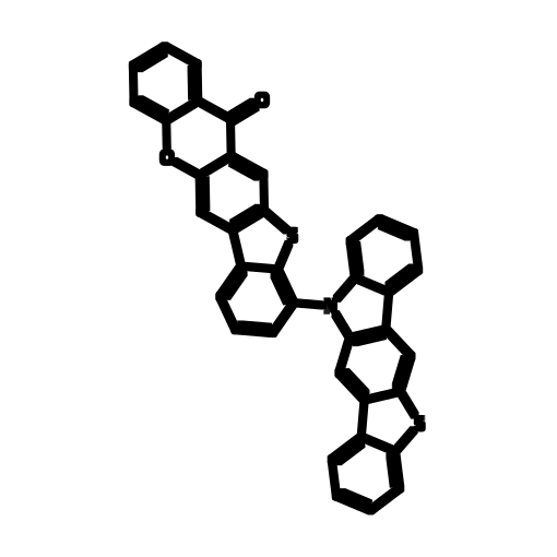 O=c1c2ccccc2oc2cc3c(cc12)sc1c(-n2c4ccccc4c4cc5sc6ccccc6c5cc42)cccc13